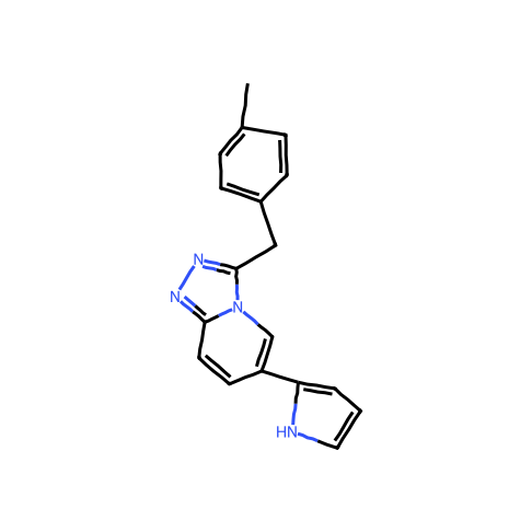 Cc1ccc(Cc2nnc3ccc(-c4ccc[nH]4)cn23)cc1